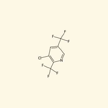 FC(F)(F)c1cnc(C(F)(F)F)c(Cl)c1